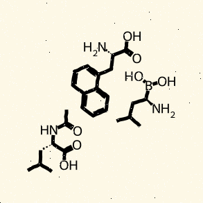 CC(=O)N[C@@H](CC(C)C)C(=O)O.CC(C)C[C@H](N)B(O)O.N[C@@H](Cc1cccc2ccccc12)C(=O)O